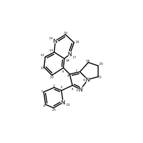 c1ccc(-c2nn3c(c2-c2cccc4nccnc24)CCC3)nc1